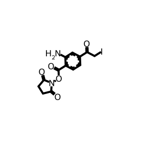 Nc1cc(C(=O)CI)ccc1C(=O)ON1C(=O)CCC1=O